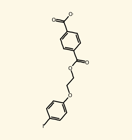 [O]C(=O)c1ccc(C(=O)OCCOc2ccc(I)cc2)cc1